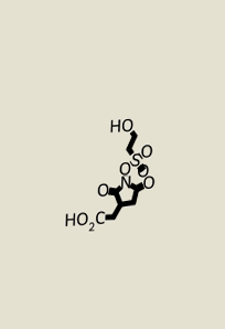 O=C(O)CC1CC(=O)N(OS(=O)(=O)CCO)C1=O